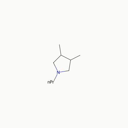 [CH2]CCN1CC(C)C(C)C1